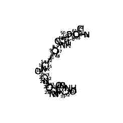 CC1(C)C(NC(=O)c2ccc(C#CC3CCN(C(=O)C4CCN(c5ccc6nnn(C7CCC(=O)NC7=O)c(=O)c6c5)CC4)CC3)cc2)C(C)(C)C1Oc1ccc(C#N)c(Cl)c1